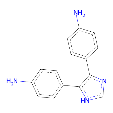 Nc1ccc(-c2nc[nH]c2-c2ccc(N)cc2)cc1